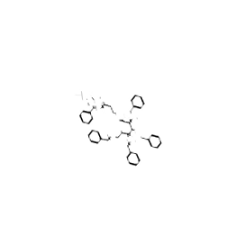 CC[C@H](CCO[C@H]1SC(COCc2ccccc2)[C@H](OCc2ccccc2)C(OCc2ccccc2)C1OCc1ccccc1)OC(=O)c1ccccc1